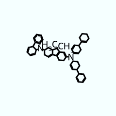 CC1(C)C2=C(CCC(N(C3=CCC(C4=CCCCC4)C=C3)C3C=CC(C4C=CC=CC4)CC3)=C2)C2=CCC(N3c4ccccc4C4C=CC=CC43)CC21